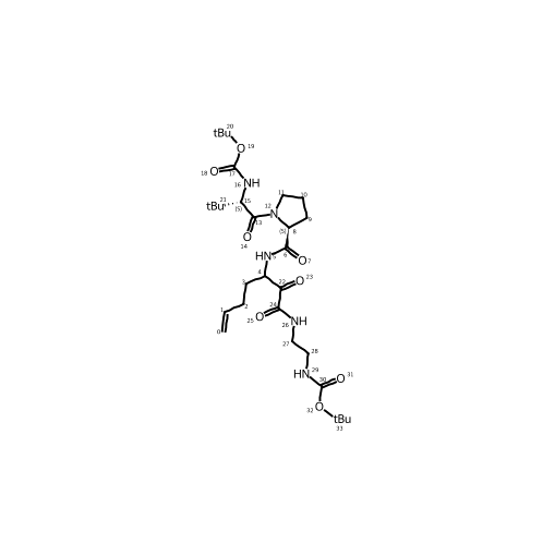 C=CCCC(NC(=O)[C@@H]1CCCN1C(=O)[C@@H](NC(=O)OC(C)(C)C)C(C)(C)C)C(=O)C(=O)NCCNC(=O)OC(C)(C)C